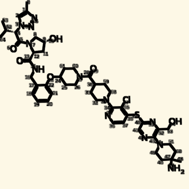 Cc1cn([C@H](C(=O)N2C[C@H](O)C[C@H]2C(=O)NCc2ccccc2OC2CCN(C(=O)C3CCN(c4nccc(Sc5cnc(N6CCC(C)(N)CC6)c(CO)n5)c4Cl)CC3)CC2)C(C)C)nn1